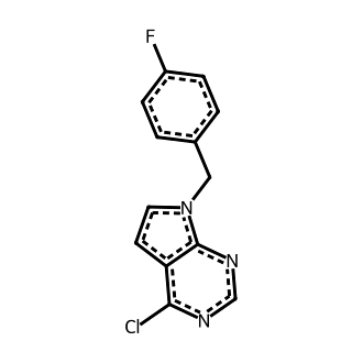 Fc1ccc(Cn2ccc3c(Cl)ncnc32)cc1